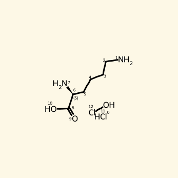 Cl.NCCCC[C@H](N)C(=O)O.OCl